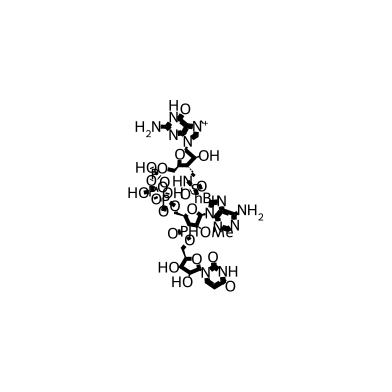 CCCCS(=O)(=O)NC[C@H]1[C@@H](O)[C@H](n2c[n+](C)c3c(=O)[nH]c(N)nc32)O[C@@H]1COP(=O)(O)OP(=O)(O)OP(=O)(O)OC[C@H]1O[C@@H](n2cnc3c(N)ncnc32)[C@H](OC)[C@@H]1[PH](=O)OC[C@H]1O[C@@H](n2ccc(=O)[nH]c2=O)[C@H](O)[C@@H]1O